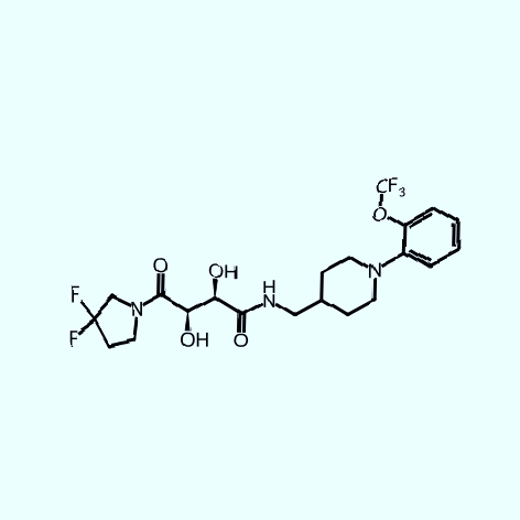 O=C(NCC1CCN(c2ccccc2OC(F)(F)F)CC1)[C@H](O)[C@@H](O)C(=O)N1CCC(F)(F)C1